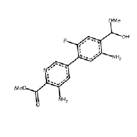 COC(=O)c1ncc(-c2cc(N)c(C(O)OC)cc2F)cc1N